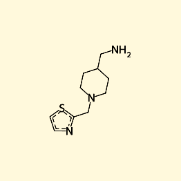 NCC1CCN(Cc2nccs2)CC1